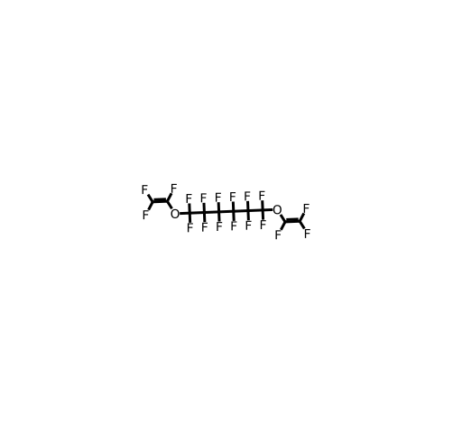 FC(F)=C(F)OC(F)(F)C(F)(F)C(F)(F)C(F)(F)C(F)(F)C(F)(F)OC(F)=C(F)F